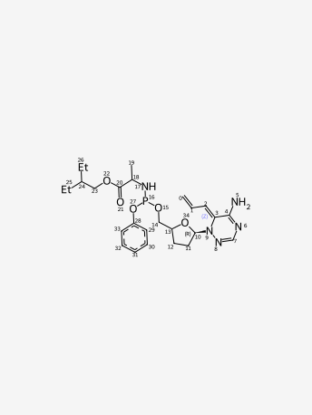 C=C/C=C1/C(N)=NC=NN1[C@H]1CCC(COP(NC(C)C(=O)OCC(CC)CC)Oc2ccccc2)O1